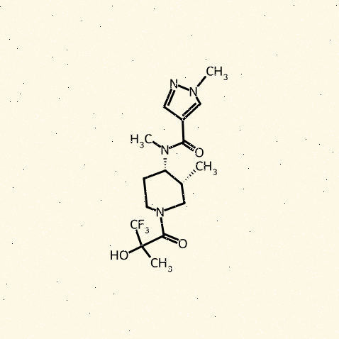 C[C@@H]1CN(C(=O)C(C)(O)C(F)(F)F)CC[C@@H]1N(C)C(=O)c1cnn(C)c1